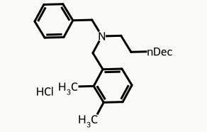 CCCCCCCCCCCCN(Cc1ccccc1)Cc1cccc(C)c1C.Cl